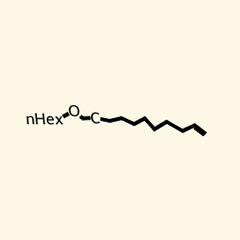 C=CCCCCCCCCCOCCCCCC